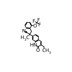 CCc1cc2ccc(C(C)(C#N)Cc3ccccc3OC(F)(F)F)cc2[nH]c1=O